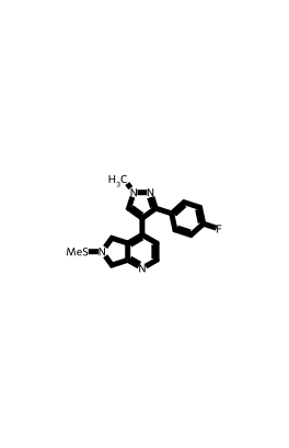 CSN1Cc2nccc(-c3cn(C)nc3-c3ccc(F)cc3)c2C1